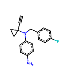 C#CC1(N(Cc2ccc(F)cc2)c2ccc(N)cc2)CC1